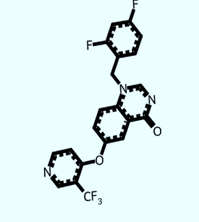 O=c1ncn(Cc2ccc(F)cc2F)c2ccc(Oc3ccncc3C(F)(F)F)cc12